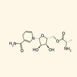 C[C@H](N)C(=O)OC[C@H]1O[C@@H](N2C=CCC(C(N)=O)=C2)[C@H](O)[C@@H]1O